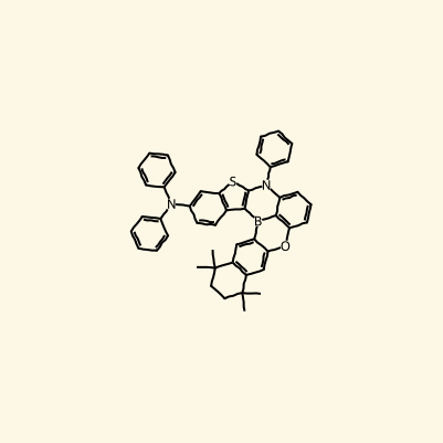 CC1(C)CCC(C)(C)c2cc3c(cc21)Oc1cccc2c1B3c1c(sc3cc(N(c4ccccc4)c4ccccc4)ccc13)N2c1ccccc1